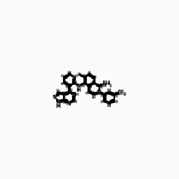 Cc1ccc2c(c1Nc1ncccc1-c1ncnc3[nH]ncc13)C=CN(c1cccc(C(F)(F)F)c1)C2N